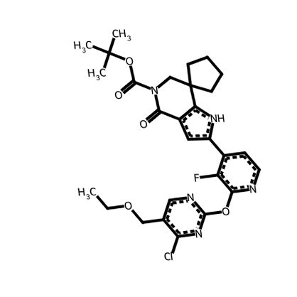 CCOCc1cnc(Oc2nccc(-c3cc4c([nH]3)C3(CCCC3)CN(C(=O)OC(C)(C)C)C4=O)c2F)nc1Cl